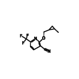 CC1CC1COc1nc(C(F)(F)F)ccc1C#N